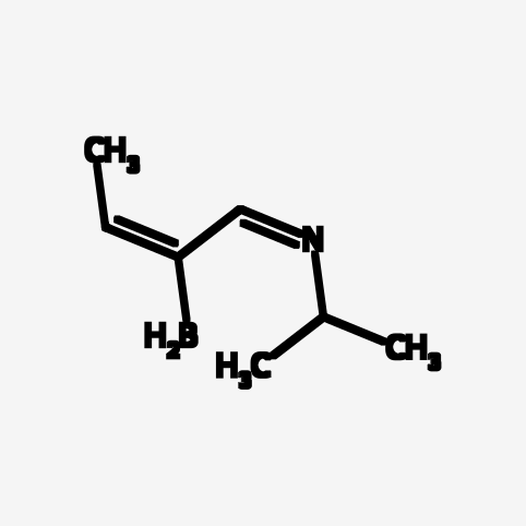 BC(/C=N\C(C)C)=C/C